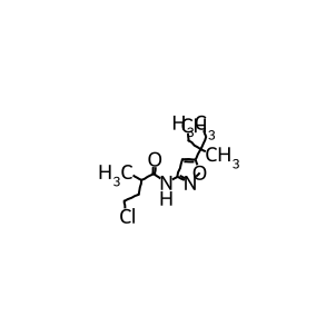 CCC(C)(CC)c1cc(NC(=O)C(C)CCCl)no1